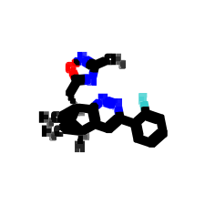 Cc1noc(C[C@]23CC[C@H](c4cc(-c5ccccc5F)nnc42)C3(C)C)n1